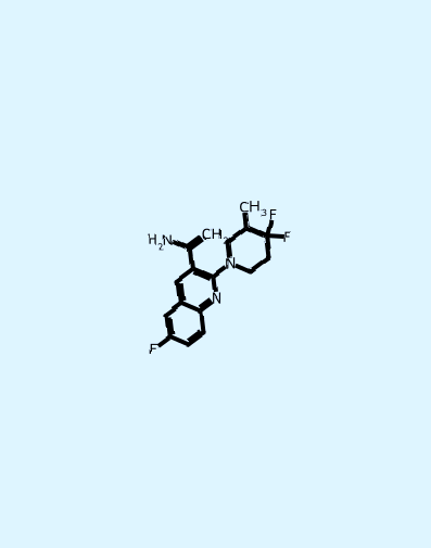 C=C(N)c1cc2cc(F)ccc2nc1N1CCC(F)(F)C(C)C1